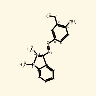 Cn1c2ccccc2c(N=Nc2ccc(N)c(CCl)c2)[n+]1C